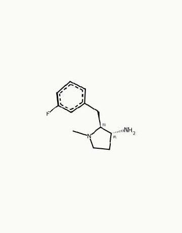 CN1CC[C@@H](N)[C@@H]1Cc1cccc(F)c1